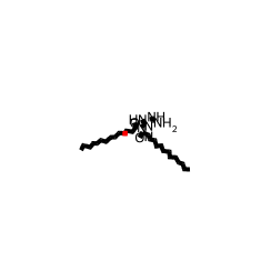 CCCCCCCCCCCCCC(=O)N(C(=N)NC(=N)N)C(=O)CCCCCCCCCCCCC